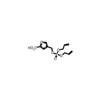 C=CCOP(=O)(OCC=C)OCc1coc(C(=O)O)c1